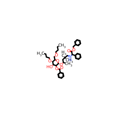 CCCCOCC1O[C@H](OC(C)CC(C)(C)CNC(C(=O)OCc2ccccc2)c2ccccc2)C(OC(=O)c2ccccc2)C(O)[C@@H]1OCCCC